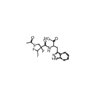 CC(=O)SCC(F)(C(=O)NC(Cc1n[nH]c2ccccc12)C(=O)O)C(F)F